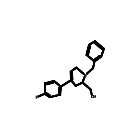 OCC1CC(c2ccc(F)cc2)=CCN1Cc1ccccc1